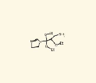 CCOC(C[SiH3])C(OCC)(OCC)N1C=NCC1